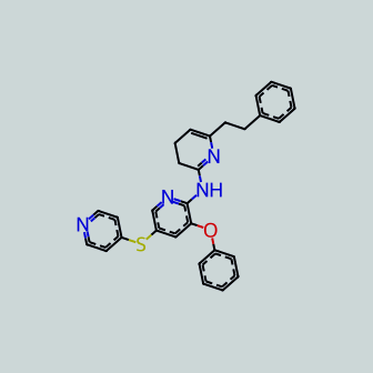 C1=C(CCc2ccccc2)N=C(Nc2ncc(Sc3ccncc3)cc2Oc2ccccc2)CC1